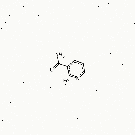 NC(=O)c1cccnc1.[Fe]